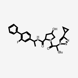 CC(NC(=O)C1CC(O)CN1C(=O)C(n1cc(C2CC2)nn1)C(C)(C)C)c1ccc(-c2ccccc2)c(F)c1